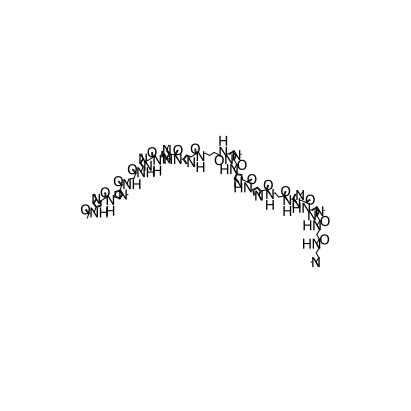 CC(=O)Nc1cc(C(=O)Nc2cc(C(=O)NCCC(=O)Nc3cn(C)c(C(=O)Nc4cn(C)c(C(=O)Nc5cc(C(=O)NCCCC(=O)Nc6cn(C)c(C(=O)Nc7cc(C(=O)Nc8cc(C(=O)NCCC(=O)Nc9cn(C)c(C(=O)Nc%10cn(C)c(C(=O)NCCC(=O)NCCCN(C)C)n%10)n9)n(C)c8)n(C)c7)n6)n(C)c5)n4)n3)n(C)c2)n(C)c1